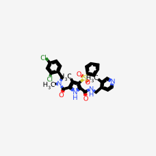 Cc1cnccc1CNC(=O)c1[nH]c(C(=O)N(C)Cc2ccc(Cl)cc2Cl)c(C)c1S(=O)(=O)c1ccccc1